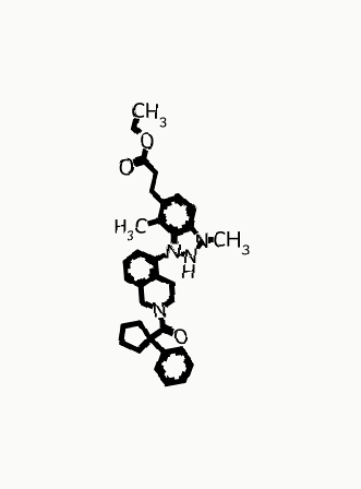 CCOC(=O)CCc1ccc2c(c1C)N(c1cccc3c1CCN(C(=O)C1(c4ccccc4)CCCC1)C3)NN2C